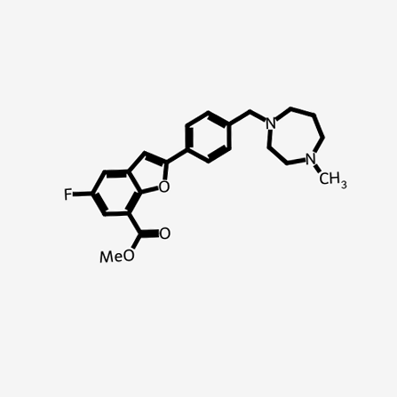 COC(=O)c1cc(F)cc2cc(-c3ccc(CN4CCCN(C)CC4)cc3)oc12